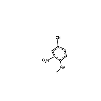 N#Cc1ccc(NI)c([N+](=O)[O-])c1